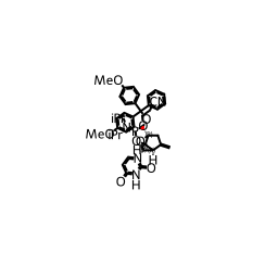 C=C1C[C@]2(COC(c3ccccc3)(c3ccc(OC)cc3)c3ccc(OC)cc3)O[C@@H](n3ccc(=O)[nH]c3=O)[C@H]1[C@@H]2OP(OCCC#N)N(C(C)C)C(C)C